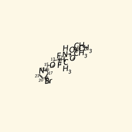 CC(NC(=O)OC(C)(C)C)C(F)(F)COCc1cc(Br)ccn1